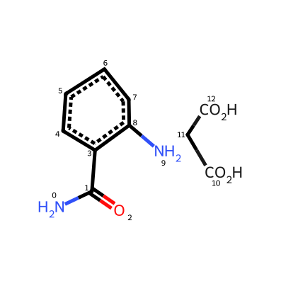 NC(=O)c1ccccc1N.O=C(O)CC(=O)O